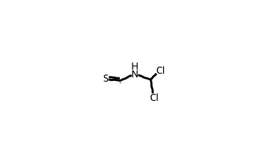 S=[C]NC(Cl)Cl